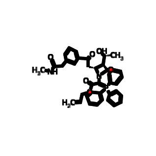 C=CCOC(=O)C(N1C(=O)[C@H]([C@@H](C)O)[C@H]1CC(=O)c1cccc(CC(=O)NC)c1)=P(c1ccccc1)(c1ccccc1)c1ccccc1